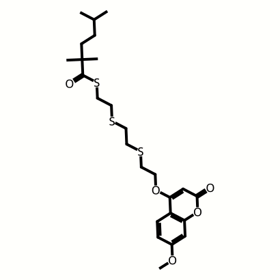 COc1ccc2c(OCCSCCSCCSC(=O)C(C)(C)CCC(C)C)cc(=O)oc2c1